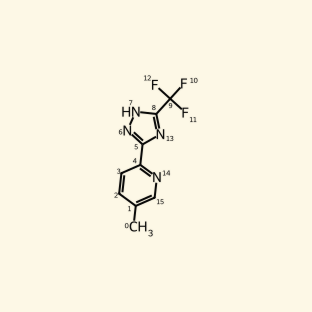 Cc1ccc(-c2n[nH]c(C(F)(F)F)n2)nc1